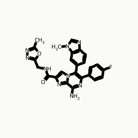 Cc1nnc(CNC(=O)c2cn3c(-c4ccc5ncn(C)c5c4)c(-c4ccc(F)cc4)nc(N)c3n2)o1